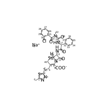 Cc1nnc(SCC2=C(C(=O)[O-])N3C(=O)C(NC(=O)C(NC(=O)N(C)C(=O)c4ccccc4Cl)c4ccccc4)[C@@H]3SC2)s1.[Na+]